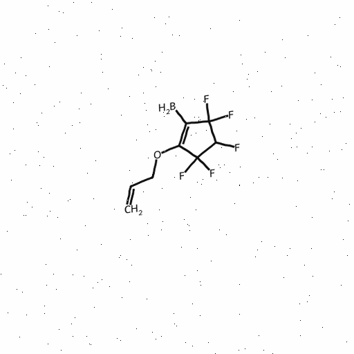 BC1=C(OCC=C)C(F)(F)C(F)C1(F)F